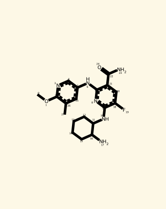 COc1ncc(Nc2nc(NC3CCCCC3N)c(F)cc2C(N)=O)cc1C